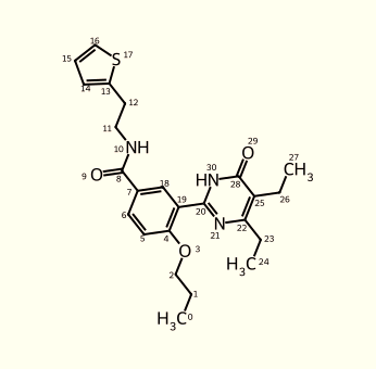 CCCOc1ccc(C(=O)NCCc2cccs2)cc1-c1nc(CC)c(CC)c(=O)[nH]1